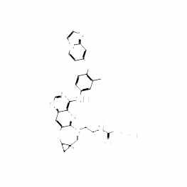 Cc1cc(Nc2ncnc3cc4c(nc23)N(CCNC(=O)OC(C)(C)C)C[C@@H]2CC2O4)ccc1Oc1ccn2ccnc2c1